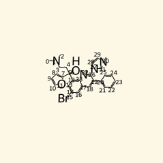 CN(C)CCC(O)(c1ccco1)c1cc(Br)cc2cc(-c3ccccc3)c(-n3ccnc3)nc12